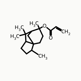 C=CC(=O)OC1(C)CCC23CC1C(C)(C)C2CCC3C